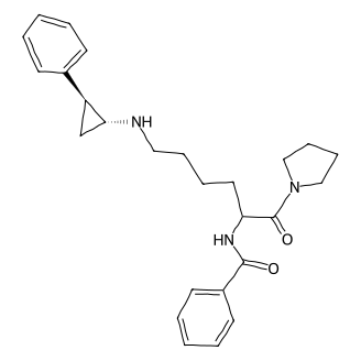 O=C(NC(CCCCN[C@@H]1C[C@H]1c1ccccc1)C(=O)N1CCCC1)c1ccccc1